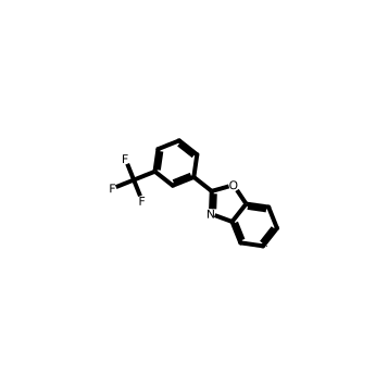 FC(F)(F)c1cccc(-c2nc3c[c]ccc3o2)c1